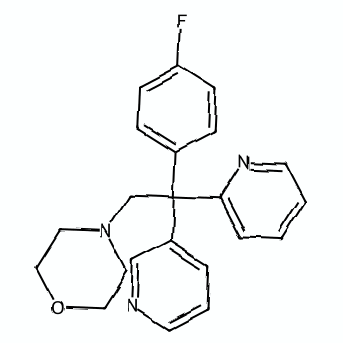 Fc1ccc(C(CN2CCOCC2)(c2cccnc2)c2ccccn2)cc1